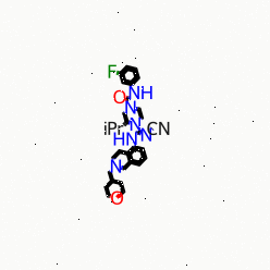 CC(C)C1CN(C(=O)Nc2cccc(F)c2)CCN1/C(=N\C#N)Nc1cccc2c1CCN(CC1CCOCC1)C2